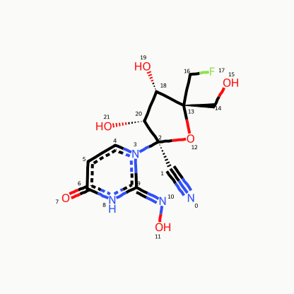 N#C[C@@]1(n2ccc(=O)[nH]/c2=N\O)O[C@@](CO)(CF)[C@@H](O)[C@H]1O